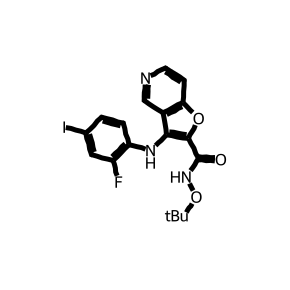 CC(C)(C)ONC(=O)c1oc2ccncc2c1Nc1ccc(I)cc1F